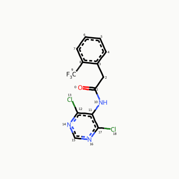 O=C(Cc1ccccc1C(F)(F)F)Nc1c(Cl)ncnc1Cl